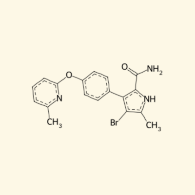 Cc1cccc(Oc2ccc(-c3c(C(N)=O)[nH]c(C)c3Br)cc2)n1